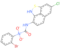 O=C(Nc1ccc2cc(Cl)cc3c2c1NS3)[N+]([O-])([O-])c1ccccc1Br